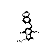 COc1c(Cc2ccc3c(c2)OCO3)cc(=O)n2c1C(=S)C[C@@H]2C(=O)O